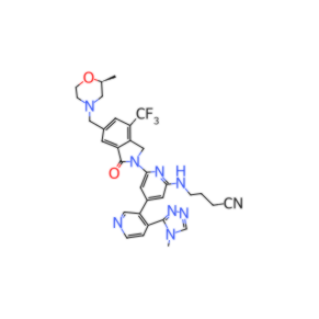 C[C@H]1CN(Cc2cc3c(c(C(F)(F)F)c2)CN(c2cc(-c4cnccc4-c4nncn4C)cc(NCCCC#N)n2)C3=O)CCO1